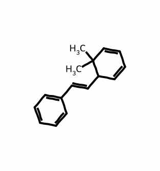 CC1(C)C=CC=CC1C=Cc1ccccc1